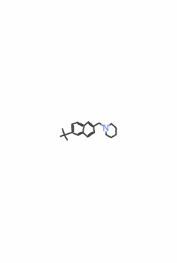 CC(C)(C)c1ccc2cc(CN3CCCCC3)ccc2c1